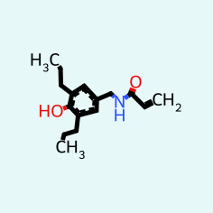 C=CC(=O)NCc1cc(CCC)c(O)c(CCC)c1